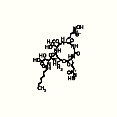 CCCCCCCC(=O)N[C@@H](C(=O)N[C@@H]1C(=O)N[C@H]([C@@H](C)O)C(=O)N[C@H](CCC/[N+]([O-])=N/O)C(=O)NCC(=O)N[C@H](CCC/[N+]([O-])=N/O)C(=O)O[C@@H]1C)[C@@H](O)C(=O)O